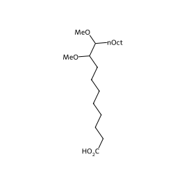 CCCCCCCCC(OC)C(CCCCCCCC(=O)O)OC